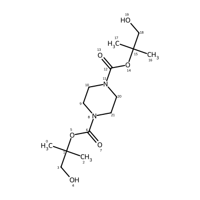 CC(C)(CO)OC(=O)N1CCN(C(=O)OC(C)(C)CO)CC1